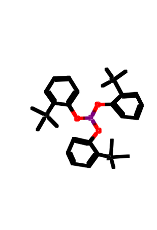 C[Si](C)(C)c1ccccc1OP(Oc1ccccc1[Si](C)(C)C)Oc1ccccc1[Si](C)(C)C